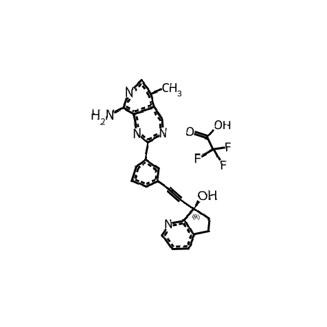 Cc1cnc(N)c2nc(-c3cccc(C#C[C@]4(O)CCc5cccnc54)c3)ncc12.O=C(O)C(F)(F)F